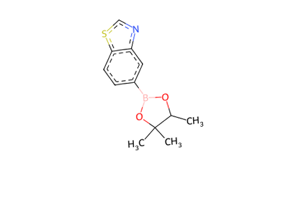 CC1OB(c2ccc3scnc3c2)OC1(C)C